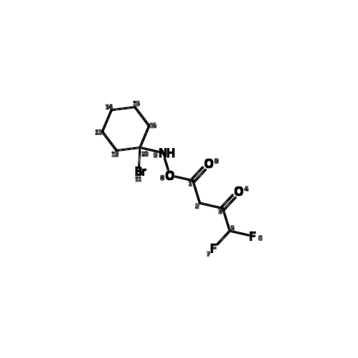 O=C(CC(=O)C(F)F)ONC1(Br)CCCCC1